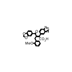 COc1ccccc1C/C(C(=O)c1ccc2c(c1)OCO2)=C(\C(=O)O)c1ccc2nsnc2c1